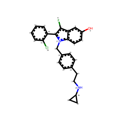 Oc1ccc2c(c1)c(F)c(-c1ccccc1Cl)n2Cc1ccc(CCNC2CC2)cc1